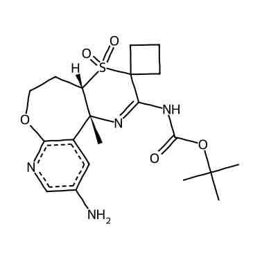 CC(C)(C)OC(=O)NC1=N[C@]2(C)c3cc(N)cnc3OCC[C@@H]2S(=O)(=O)C12CCC2